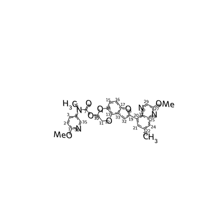 COc1ccc(N(C)C(=O)O[C@@H]2COc3c(ccc4oc(-c5cc(C)cc6nc(OC)cnc56)cc34)O2)cn1